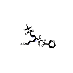 C/C=C/C=C(\C=C\S(=O)(=O)C(F)(F)F)S(=O)(=O)NC(O)C1=COCC=C1